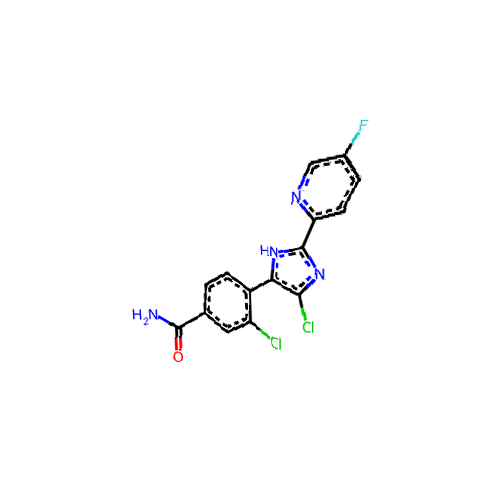 NC(=O)c1ccc(-c2[nH]c(-c3ccc(F)cn3)nc2Cl)c(Cl)c1